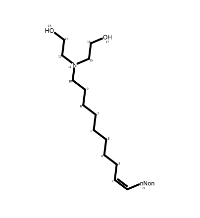 CCCCCCCCC/C=C\CCCCCCCCN(CCO)CCO